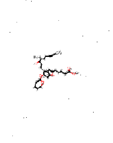 CC#CCC[C@H](C)C(=O)C=C[C@@H]1c2cc(CCCCC(=O)OC)oc2C[C@H]1OC1CCCCO1